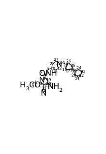 CCOc1nc(C(=O)NCC2CCN(Cc3ccc(-c4ccccc4)cc3)CC2)cc(N)c1C#N